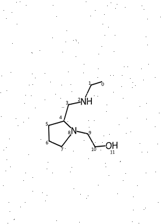 CCNCC1CCCN1CCO